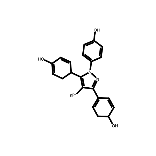 CCCc1c(C2=CCC(O)C=C2)nn(-c2ccc(O)cc2)c1C1C=CC(O)=CC1